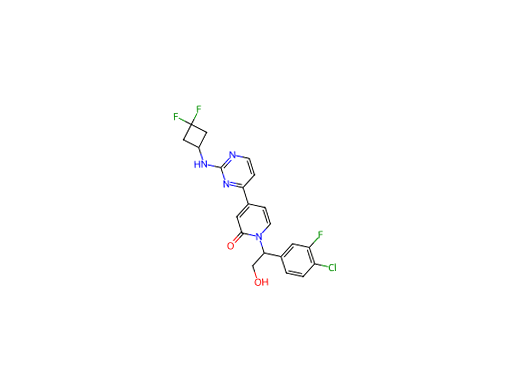 O=c1cc(-c2ccnc(NC3CC(F)(F)C3)n2)ccn1C(CO)c1ccc(Cl)c(F)c1